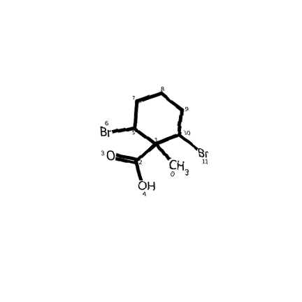 CC1(C(=O)O)C(Br)CCCC1Br